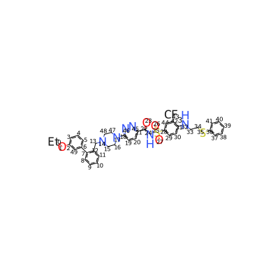 CCOc1cccc(-c2ccccc2CN2CCN(c3ccc(C(=O)NS(=O)(=O)c4ccc(NCCSc5ccccc5)c(C(F)(F)F)c4)nn3)CC2)c1